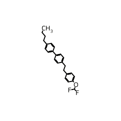 CCCCc1ccc(-c2ccc(CCc3ccc(OC(F)F)cc3)cc2)cc1